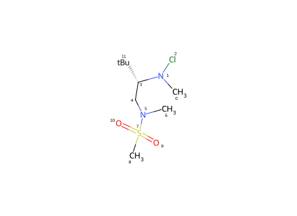 CN(Cl)[C@H](CN(C)S(C)(=O)=O)C(C)(C)C